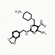 Nc1nc(NCc2ccc3c(c2)OCO3)nc(C[C@H]2CC[C@H](N)CC2)c1[N+](=O)[O-]